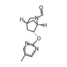 Cc1cnc(O[C@@H]2C[C@H]3C[C@@H]2N(C=O)C3)nc1